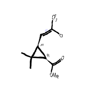 COC(=O)[C@@H]1[C@H](/C=C(\Cl)C(F)(F)F)C1(C)C